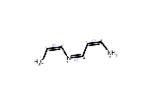 C\C=C/N=C\C=C/N